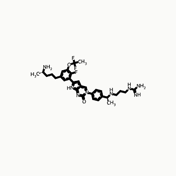 C[C@H](N)CCCc1cc(OC(C)(F)F)c(F)c(-c2cc3cn(-c4ccc([C@H](C)NCCCNC(=N)N)cc4)c(=O)nc3[nH]2)c1